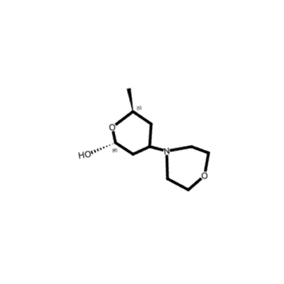 C[C@H]1CC(N2CCOCC2)C[C@H](O)O1